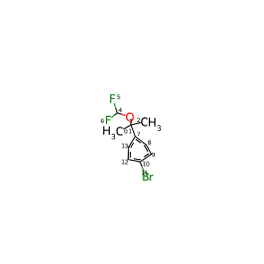 CC(C)(OC(F)F)c1ccc(Br)cc1